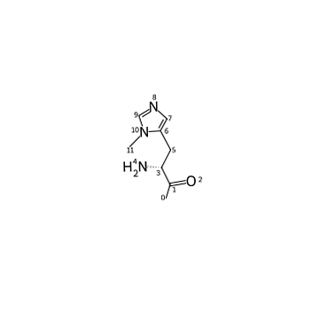 CC(=O)[C@H](N)Cc1cncn1C